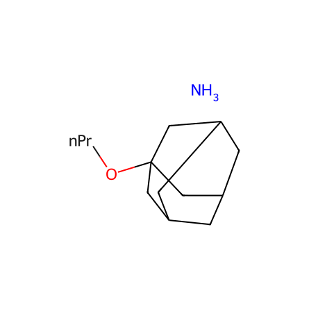 CCCOC12CC3CC(CC(C3)C1)C2.N